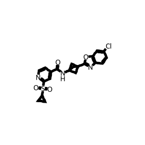 O=C(NC12CC(c3nc4ccc(Cl)cc4o3)(C1)C2)c1ccnc(S(=O)(=O)C2CC2)c1